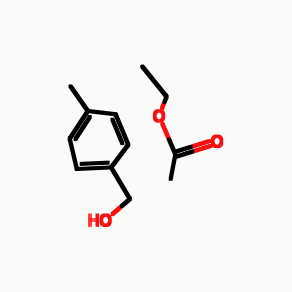 CCOC(C)=O.Cc1ccc(CO)cc1